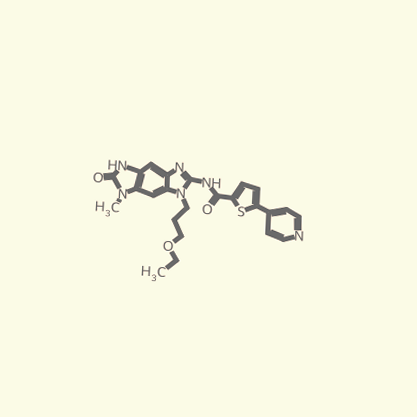 CCOCCCn1c(NC(=O)c2ccc(-c3ccncc3)s2)nc2cc3[nH]c(=O)n(C)c3cc21